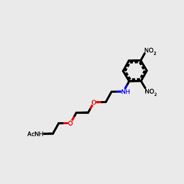 CC(=O)NCCOCCOCCNc1ccc([N+](=O)[O-])cc1[N+](=O)[O-]